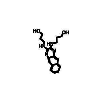 OCCCNc1nc2cc3ccccc3cc2nc1NCCCO